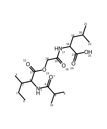 CCC(C)C(NC(=O)C(C)C)C(=O)OCC(=O)NC(CC(C)C)C(=O)O